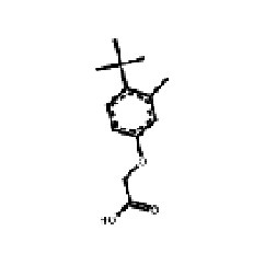 Cc1cc(OCC(=O)O)ccc1C(C)(C)C